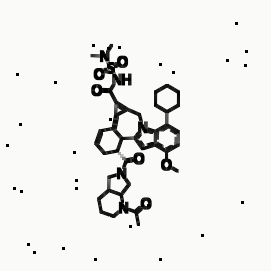 COc1ccc(C2CCCCC2)c2c1cc1n2CC2=C(C(=O)NS(=O)(=O)N(C)C)C2=C2C=CC[C@@H](C(=O)N3CC4CCCN(C(C)=O)C4C3)C21